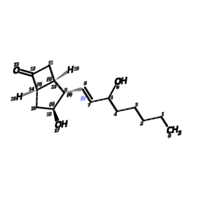 CCCCCC(O)/C=C/[C@H]1[C@@H]2CC(=O)[C@@H]2C[C@@H]1O